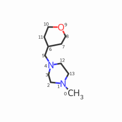 CN1CCN(CC2CCOCC2)CC1